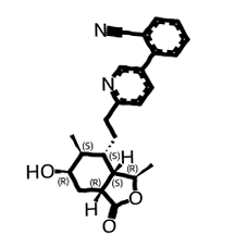 C[C@H]1[C@H](CCc2ccc(-c3ccccc3C#N)cn2)[C@@H]2[C@@H](C)OC(=O)[C@@H]2C[C@H]1O